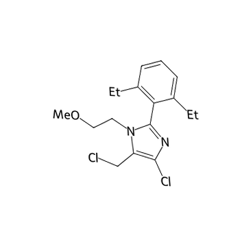 CCc1cccc(CC)c1-c1nc(Cl)c(CCl)n1CCOC